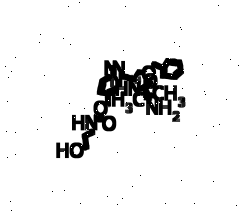 CC(C)(N)C(=O)N[C@H](COCc1ccccc1)c1nnc2ccc(COC(=O)NCCCO)cn12